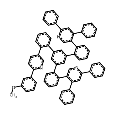 COc1cccc(-c2ccc(-c3ccccc3-c3cc(-c4ccccc4-c4cnc(-c5ccccc5)cc4-c4ccccc4)cc(-c4ccccc4-c4cnc(-c5ccccc5)cc4-c4ccccc4)c3)cn2)c1